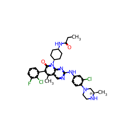 CCC(=O)N[C@H]1CC[C@@H](n2c(=O)c(-c3cccc(F)c3Cl)c(C)c3cnc(Nc4ccc(N5CCN[C@H](C)C5)c(Cl)c4)nc32)CC1